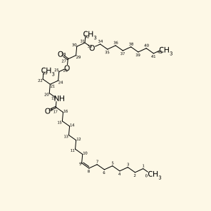 CCCCCCCC/C=C\CCCCCCCC(=O)NCC(CC)CCOC(=O)CCC(C)OCCCCCCCCC